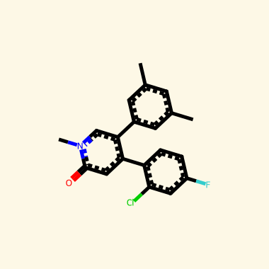 Cc1cc(C)cc(-c2cn(C)c(=O)cc2-c2ccc(F)cc2Cl)c1